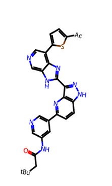 CC(=O)c1ccc(-c2cncc3[nH]c(-c4n[nH]c5ccc(-c6cncc(NC(=O)CC(C)(C)C)c6)nc45)nc23)s1